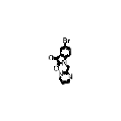 O=C1C(=O)N(Cc2ncccn2)c2ccc(Br)cc21